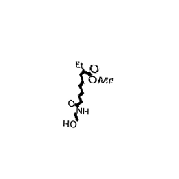 CCC(CCCCCCC(=O)NCCO)C(=O)OC